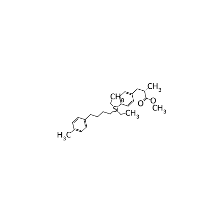 CC[Si](CC)(CCCCc1ccc(C)cc1)c1ccc(C[C@H](C)C(=O)OC)cc1